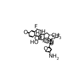 C[C@@H]1C[C@H]2[C@@H]3C[C@H](F)C4=CC(=O)C=C[C@]4(C)[C@@]3(F)[C@@H](O)C[C@]2(C)[C@@]1(OC(=O)c1cc(N)co1)C(=O)SCF